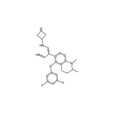 CC1CCc2c(ccc(/C(C=N)=C/NC3CNC3)c2Oc2cc(F)cc(F)c2)N1C